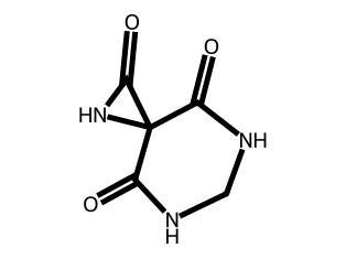 O=C1NCNC(=O)C12NC2=O